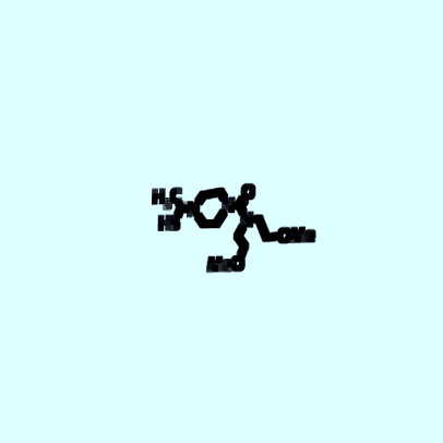 COCCN(CCOC)C(=O)N1CCN([C@H](C)S)CC1